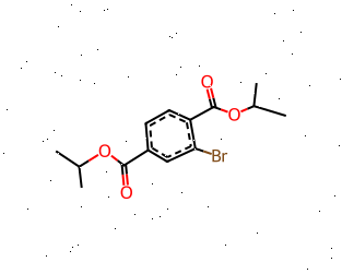 CC(C)OC(=O)c1ccc(C(=O)OC(C)C)c(Br)c1